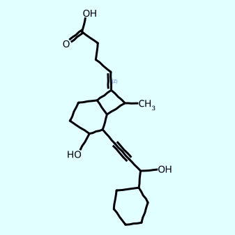 CC1/C(=C/CCC(=O)O)C2CCC(O)C(C#CC(O)C3CCCCC3)C12